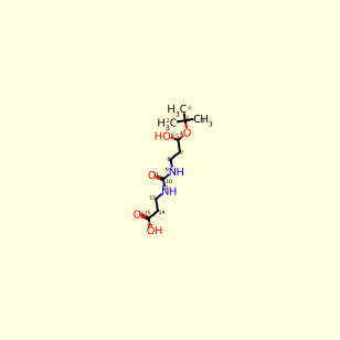 CC(C)(C)OC(O)CCNC(=O)NCCC(=O)O